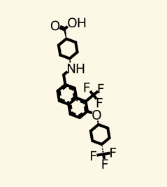 O=C(O)[C@H]1CC[C@H](NCc2ccc3ccc(O[C@H]4CC[C@@H](C(F)(F)F)CC4)c(C(F)(F)F)c3c2)CC1